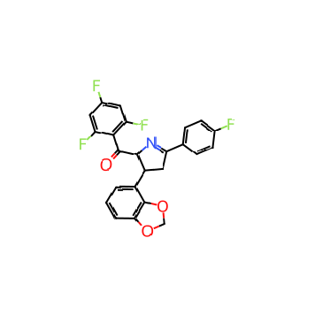 O=C(c1c(F)cc(F)cc1F)C1N=C(c2ccc(F)cc2)CC1c1cccc2c1OCO2